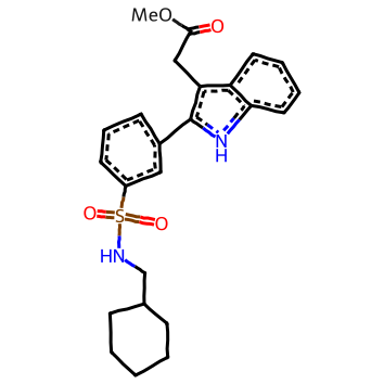 COC(=O)Cc1c(-c2cccc(S(=O)(=O)NCC3CCCCC3)c2)[nH]c2ccccc12